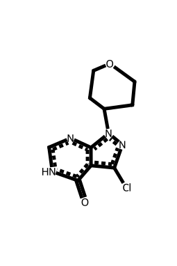 O=c1[nH]cnc2c1c(Cl)nn2C1CCOCC1